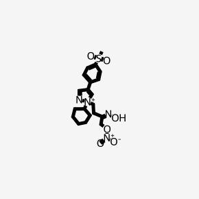 CS(=O)(=O)c1ccc(C2=C[N+](CCC(CO[N+](=O)[O-])=NO)(C3CCCCC3)N=C2)cc1